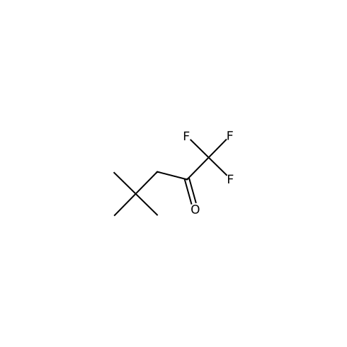 CC(C)(C)CC(=O)C(F)(F)F